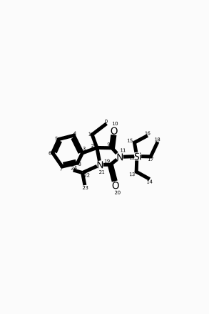 CCC1(c2ccccc2)C(=O)N([Si](CC)(CC)CC)C(=O)N1C(C)C